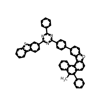 Cc1c(-c2ccccc2)c2ccc3oc4ccc(-c5ccc(-c6nc(-c7ccccc7)nc(-c7ccc8c(c7)sc7ccccc78)n6)cc5)cc4c3c2c2ccccc12